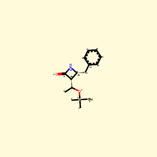 CC(O[Si](C)(C)C(C)(C)C)[C@@H]1C(=O)N[C@@H]1Cc1ccccc1